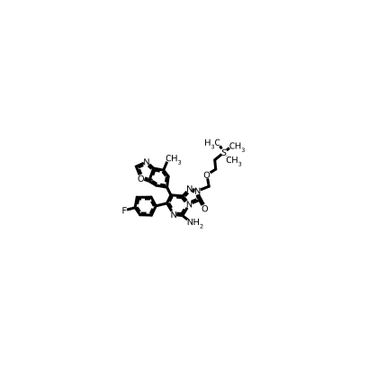 Cc1cc(-c2c(-c3ccc(F)cc3)nc(N)n3c(=O)n(COCCS(C)(C)C)nc23)cc2ocnc12